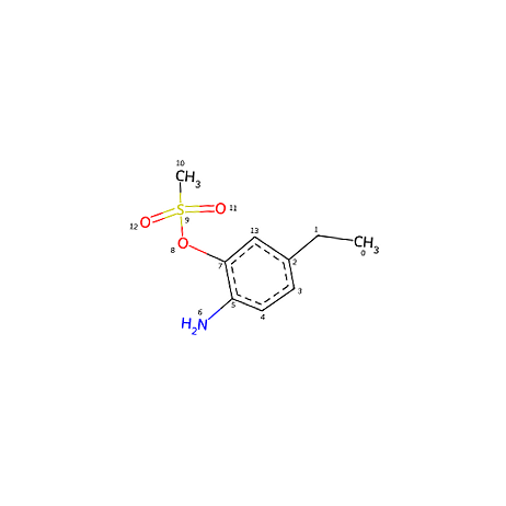 CCc1ccc(N)c(OS(C)(=O)=O)c1